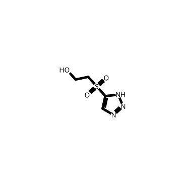 O=S(=O)(CCO)c1cnn[nH]1